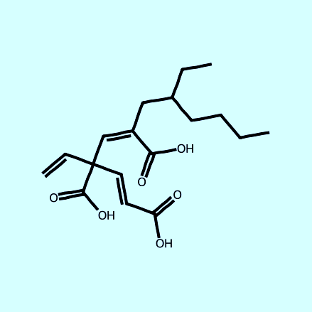 C=CC(C=CC(=O)O)(C=C(CC(CC)CCCC)C(=O)O)C(=O)O